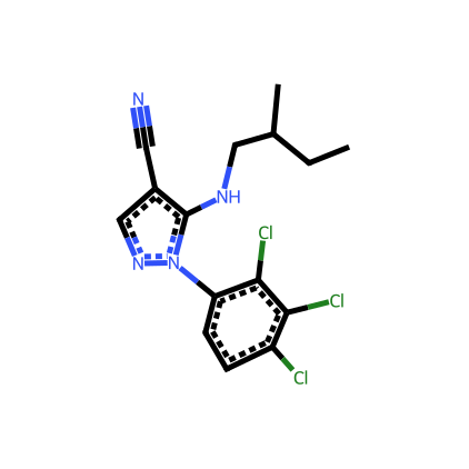 CCC(C)CNc1c(C#N)cnn1-c1ccc(Cl)c(Cl)c1Cl